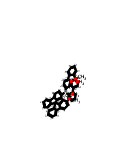 CC(C)(C)c1ccc2c(c1)C1(c3ccccc3-c3ccc(N(c4ccc5c(c4)C(C)(C)c4ccccc4-5)c4ccccc4-c4ccccc4)cc31)c1ccccc1-2